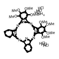 COc1c(OC)c(OC)c2c(c1OC)-c1nc-2nc2[nH]c(nc3nc(nc4[nH]c(n1)c1ccccc41)-c1ccccc1-3)c1c(OC)c(OC)c(OC)c(OC)c21.Cl.Cl.Cl.Cl.Cl.Cl.[SiH4]